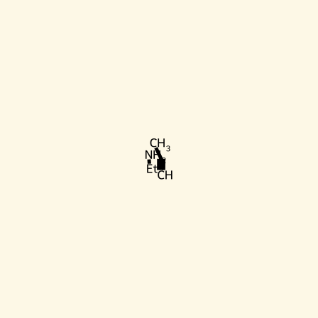 C#CC.CCN